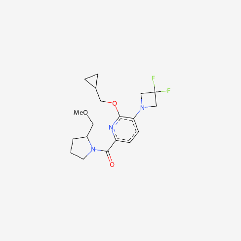 COCC1CCCN1C(=O)c1ccc(N2CC(F)(F)C2)c(OCC2CC2)n1